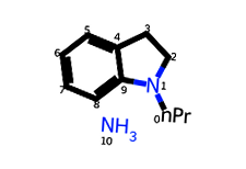 CCCN1CCc2ccccc21.N